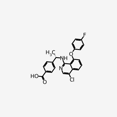 C[C@H](Nc1ncc(Cl)c2cccc(Oc3ccc(F)cc3)c12)c1ccc(C(=O)O)cc1